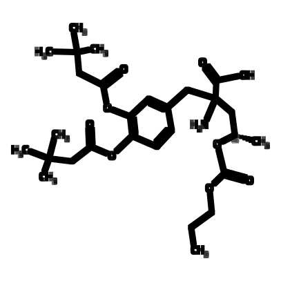 CCCOC(=O)O[C@@H](C)CC(N)(Cc1ccc(OC(=O)CC(C)(C)C)c(OC(=O)CC(C)(C)C)c1)C(=O)O